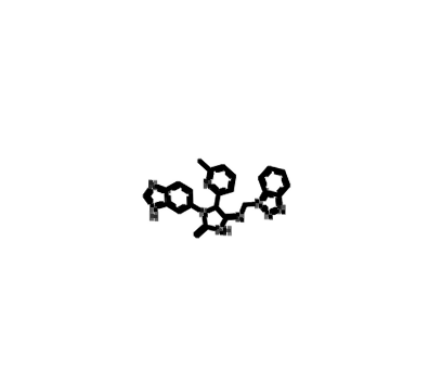 C=C1N/C(=N/Cn2nnc3ccccc32)C(c2cccc(C)n2)N1c1ccc2nc[nH]c2c1